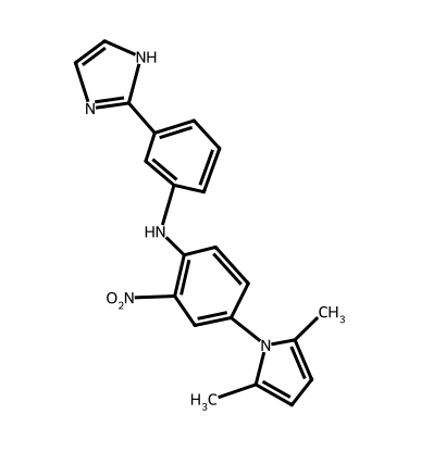 Cc1ccc(C)n1-c1ccc(Nc2cccc(-c3ncc[nH]3)c2)c([N+](=O)[O-])c1